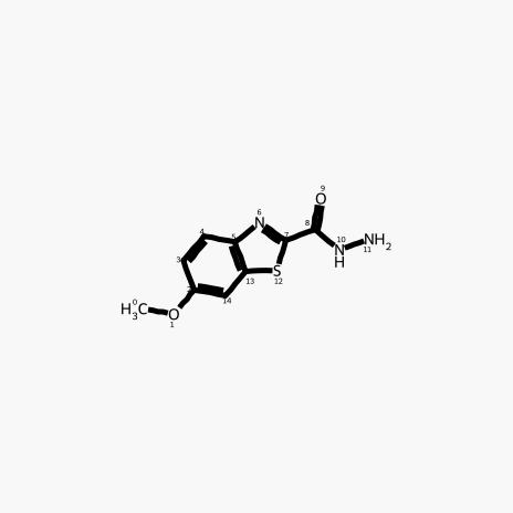 COc1ccc2nc(C(=O)NN)sc2c1